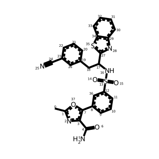 Cc1nc(C(N)=O)c(-c2cccc(S(=O)(=O)NC(Cc3cccc(C#N)c3)c3nc4ccccc4s3)c2)o1